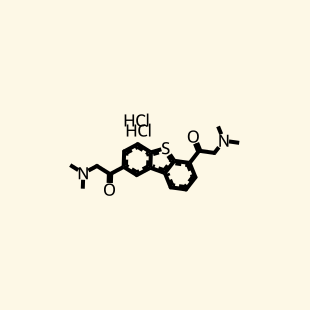 CN(C)CC(=O)c1ccc2sc3c(C(=O)CN(C)C)cccc3c2c1.Cl.Cl